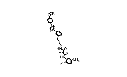 Cc1ccc(C(C)C)c(NC(=S)NC(=O)NCCCCc2cccc(-c3ncn(-c4ccc(OC(F)(F)F)cc4)n3)c2)c1